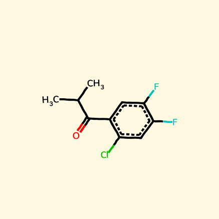 CC(C)C(=O)c1cc(F)c(F)cc1Cl